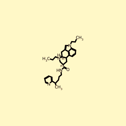 CCCN1C[C@H](C(=O)NCCCC(C)c2ccccn2)CC2c3cccc4c3c(cn4CCC)C[C@H]21